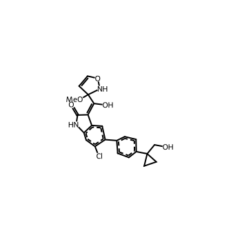 COC1(C(O)=C2C(=O)Nc3cc(Cl)c(-c4ccc(C5(CO)CC5)cc4)cc32)C=CON1